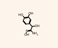 NC(=NO)C(O)c1ccc(O)c(O)c1